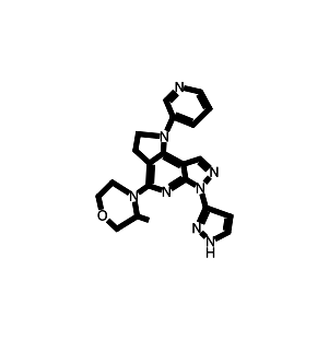 CC1COCCN1c1nc2c(cnn2-c2cc[nH]n2)c2c1CCN2c1cccnc1